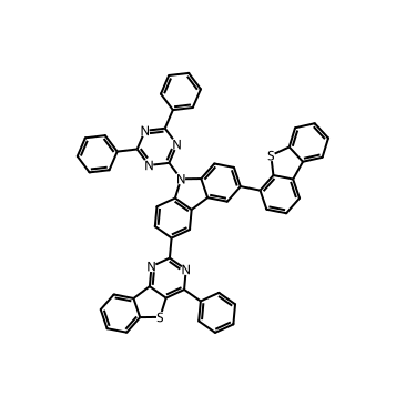 c1ccc(-c2nc(-c3ccccc3)nc(-n3c4ccc(-c5nc(-c6ccccc6)c6sc7ccccc7c6n5)cc4c4cc(-c5cccc6c5sc5ccccc56)ccc43)n2)cc1